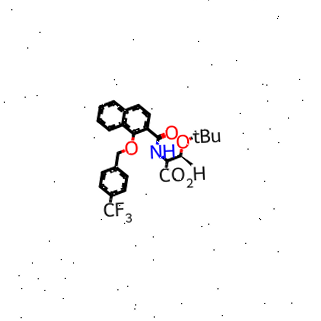 C[C@H](OC(C)(C)C)C(NC(=O)c1ccc2ccccc2c1OCc1ccc(C(F)(F)F)cc1)C(=O)O